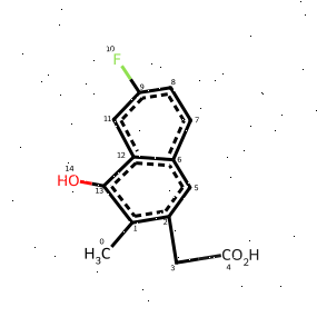 Cc1c(CC(=O)O)cc2ccc(F)cc2c1O